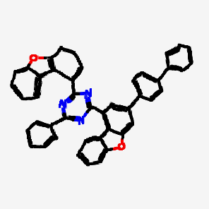 C1=C(c2nc(-c3ccccc3)nc(-c3cc(-c4ccc(-c5ccccc5)cc4)cc4oc5ccccc5c34)n2)c2c(oc3ccccc23)CC1